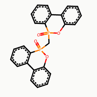 O=P1(CP2(=O)Oc3ccccc3-c3ccccc32)Oc2ccccc2-c2ccccc21